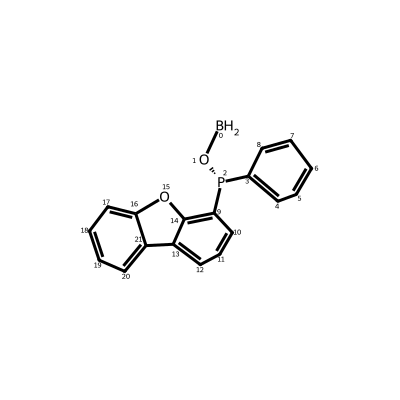 BO[P@](c1ccccc1)c1cccc2c1oc1ccccc12